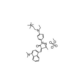 CCN(CC[N+](C)(C)C)c1ccc(N2N=C(C)C(=Cc3ccc(N(C)C)c4ccccc34)C2=O)cc1.COS(=O)(=O)[O-]